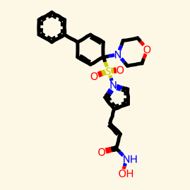 O=C(/C=C/c1ccn(S(=O)(=O)C2(N3CCOCC3)C=CC(c3ccccc3)C=C2)c1)NO